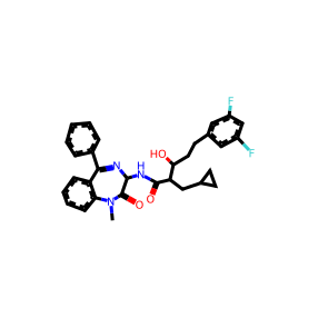 CN1C(=O)C(NC(=O)C(CC2CC2)C(O)CCc2cc(F)cc(F)c2)N=C(c2ccccc2)c2ccccc21